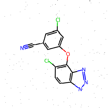 N#Cc1cc(Cl)cc(Oc2c(Cl)ccc3c2N=N[N]3)c1